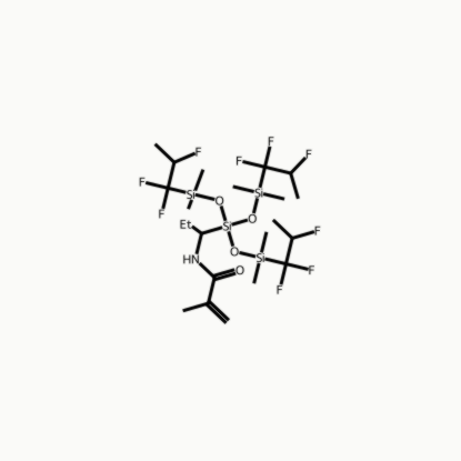 C=C(C)C(=O)NC(CC)[Si](O[Si](C)(C)C(F)(F)C(C)F)(O[Si](C)(C)C(F)(F)C(C)F)O[Si](C)(C)C(F)(F)C(C)F